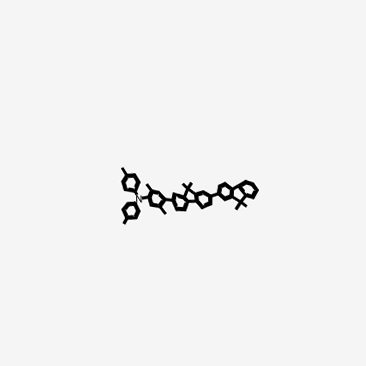 Cc1ccc(N(c2ccc(C)cc2)c2cc(C)c(-c3ccc4c(c3)C(C)(C)c3cc(-c5ccc6c(c5)C(C)(C)c5ccccc5-6)ccc3-4)cc2C)cc1